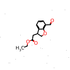 CCOC(=O)CC1COc2c(C=O)cccc21